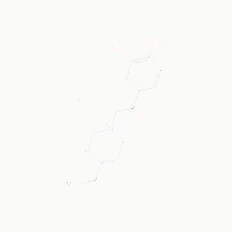 CSC(=S)N1CCN(CC(=O)c2ccc(O)c(O)c2)CC1.Cl